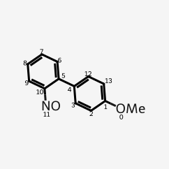 COc1ccc(-c2ccccc2N=O)cc1